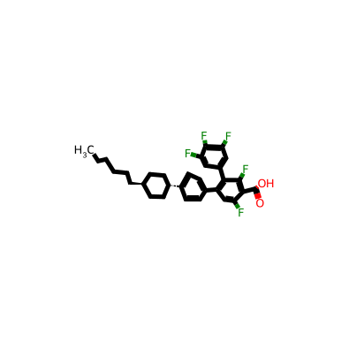 CCCCCC[C@H]1CC[C@H](c2ccc(-c3cc(F)c(C(=O)O)c(F)c3-c3cc(F)c(F)c(F)c3)cc2)CC1